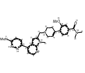 CNc1ccc(-c2ccnc3c2cc(CN2CC=C(c4ccc(C(=O)N(C)C)cc4OC)CC2)n3C)nn1